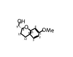 COc1ccc2c(c1)O[C@@H](CO)CC2